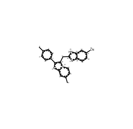 Cc1ccc(-c2nc3cc(C)ccn3c2Cc2nc3ccc(C#N)cc3[nH]2)cc1